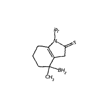 BC1(C)CCCC2=C1CC(=S)N2C(C)C